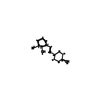 Oc1c(Br)cccc1C=N[C@H]1CC[C@H](O)CC1